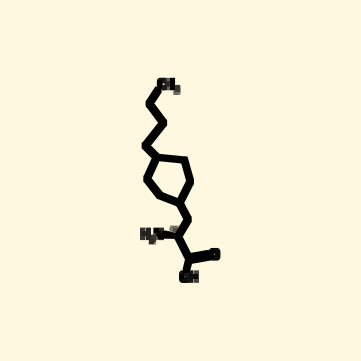 CCCCC1CCC(C[C@H](N)C(=O)O)CC1